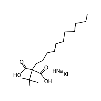 CCCCCCCCCCCC(C(=O)O)(C(=O)O)C(C)(C)C.[KH].[NaH]